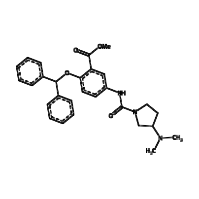 COC(=O)c1cc(NC(=O)N2CCC(N(C)C)C2)ccc1OC(c1ccccc1)c1ccccc1